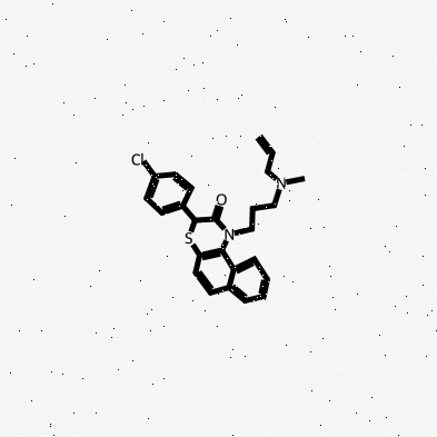 C=CCN(C)CCCN1C(=O)C(c2ccc(Cl)cc2)Sc2ccc3ccccc3c21